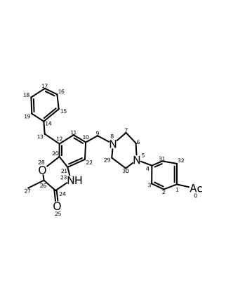 CC(=O)c1ccc(N2CCN(Cc3cc(Cc4ccccc4)c4c(c3)NC(=O)C(C)O4)CC2)cc1